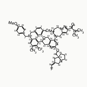 COc1ccc(CN(Cc2ccc(OC)cc2)c2cc(C)c(C(F)(F)F)c(C3Cc4nc(OC[C@@]56CCCN5C/C(=C\F)C6)nc(N5CCCn6nc(C(=O)N(C)C)cc6C5)c4CO3)c2)cc1